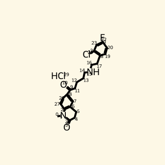 CN1C(=O)CCc2cc(C(=O)CCCCNCCc3ccc(F)cc3Cl)ccc21.Cl